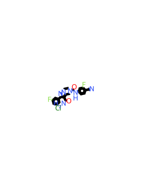 N#Cc1ccc(NC(=O)N2CCn3nc(-c4cc(F)cc(Cl)c4)c(C(N)=O)c3C2)cc1F